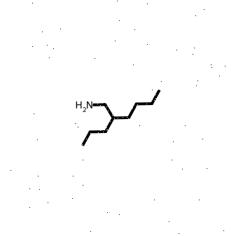 CCCCC(CN)CCC